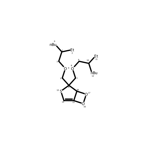 CCCCC(CC)COCC1(COCC(CC)CCCC)SC=C2OOC21